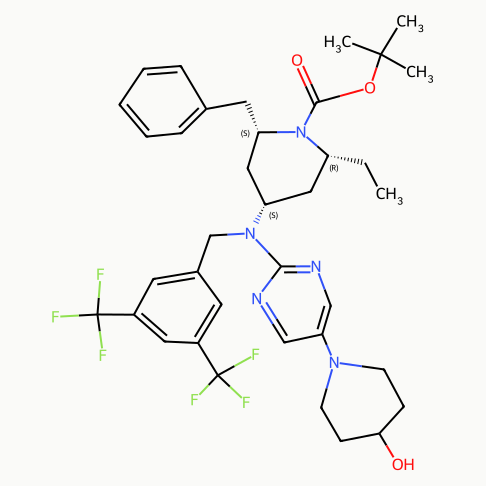 CC[C@@H]1C[C@H](N(Cc2cc(C(F)(F)F)cc(C(F)(F)F)c2)c2ncc(N3CCC(O)CC3)cn2)C[C@H](Cc2ccccc2)N1C(=O)OC(C)(C)C